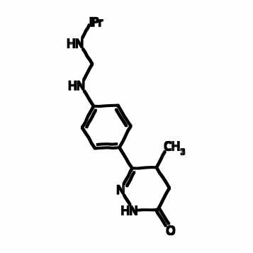 CC(C)NCNc1ccc(C2=NNC(=O)CC2C)cc1